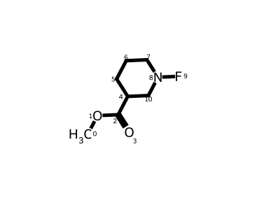 COC(=O)C1CCCN(F)C1